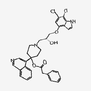 O=C(Cc1ccccc1)OC1(c2cncc3ccccc23)CCN(C[C@@H](O)COc2cc(Cl)c(Cl)c3[nH]ccc23)CC1